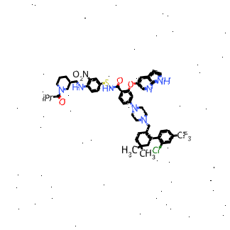 CC(C)C(=O)N1CCCC(CNc2ccc(SNC(=O)c3ccc(N4CCN(CC5=C(c6ccc(C(F)(F)F)cc6Cl)CC(C)(C)CC5)CC4)cc3Oc3cnc4[nH]ccc4c3)cc2[N+](=O)[O-])C1